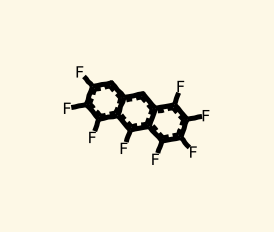 Fc1cc2cc3c(F)c(F)c(F)c(F)c3c(F)c2c(F)c1F